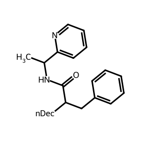 CCCCCCCCCCC(Cc1ccccc1)C(=O)NC(C)c1ccccn1